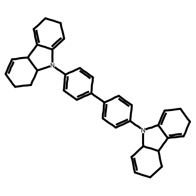 C1=CC2C(CC1)C1=CCCC=C1N2c1ccc(-c2ccc(N3C4=CCCC=C4C4C=CCCC43)cc2)cc1